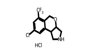 Cl.FC(F)(F)c1cc(Cl)cc2c1COC1CNCC21